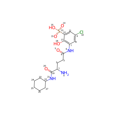 NC(CCC(=O)Nc1cc(Cl)cc(S(=O)(=O)O)c1O)C(=O)NC1CCCCC1